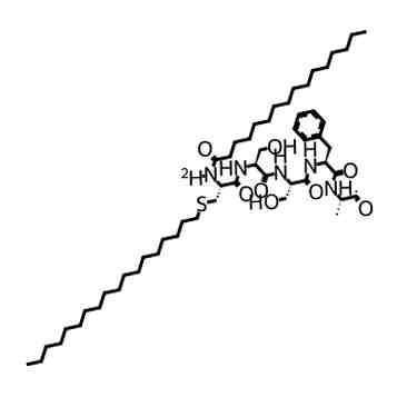 [2H]N(C(=O)CCCCCCCCCCCCCCC)[C@@H](CSCCCCCCCCCCCCCCCCCC)C(=O)N[C@@H](CO)C(=O)N[C@@H](CO)C(=O)N[C@@H](Cc1ccccc1)C(=O)N[C@@H](C)[C]=O